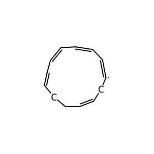 [C]1=CC=CC=CC=CCCC=CC1